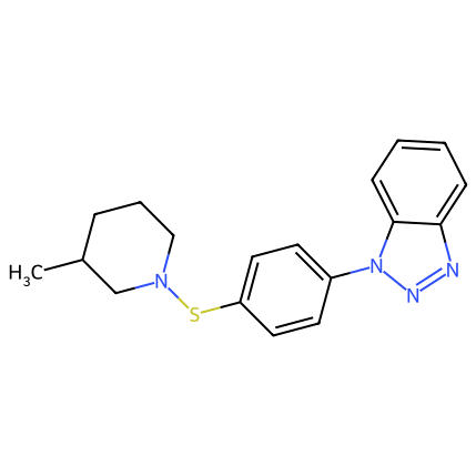 CC1CCCN(Sc2ccc(-n3nnc4ccccc43)cc2)C1